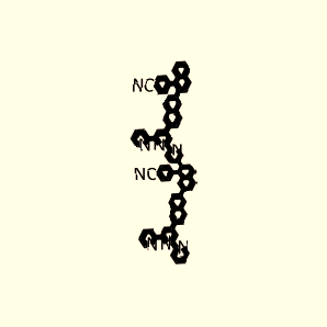 N#Cc1ccc(-c2c(-c3ccc4cc(-c5cc(-c6ccccn6)nc(-c6ccc(-c7ccc8ccc(-c9ccc%10cc(-c%11cc(-c%12ccccn%12)nc(-c%12ccccn%12)c%11)ccc%10c9)cc8c7-c7ccc(C#N)cc7)cn6)c5)ccc4c3)ccc3ccccc23)cc1